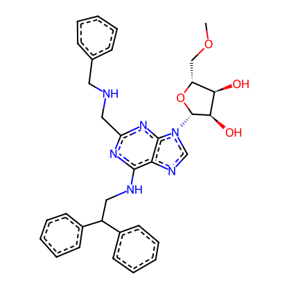 COC[C@H]1O[C@@H](n2cnc3c(NCC(c4ccccc4)c4ccccc4)nc(CNCc4ccccc4)nc32)[C@H](O)[C@@H]1O